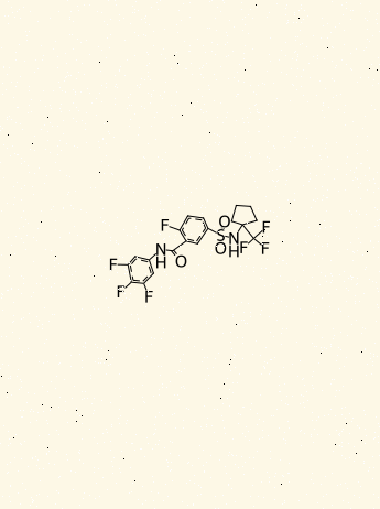 O=C(Nc1cc(F)c(F)c(F)c1)c1cc(S(=O)(=O)NC2(C(F)(F)F)CCCC2)ccc1F